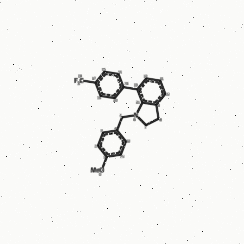 COc1ccc(CN2CCc3cccc(-c4ccc(C(F)(F)F)cc4)c32)cc1